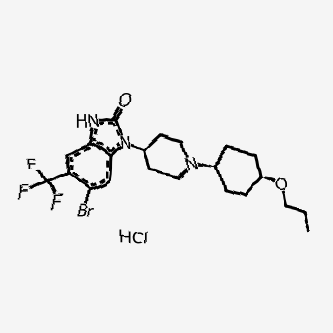 CCCO[C@H]1CC[C@@H](N2CCC(n3c(=O)[nH]c4cc(C(F)(F)F)c(Br)cc43)CC2)CC1.Cl